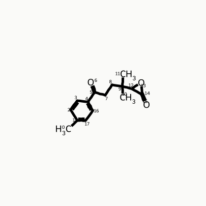 Cc1ccc(C(=O)CCC(C)(C)C2OC2=O)cc1